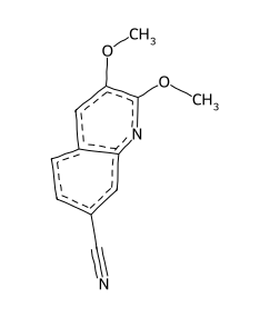 COc1cc2ccc(C#N)cc2nc1OC